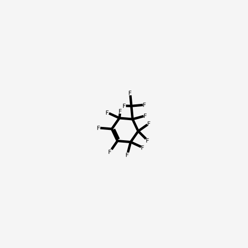 FC1=C(F)C(F)(F)C(F)(C(F)(F)F)C(F)(F)C1(F)F